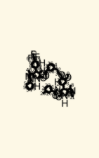 COc1cc(C2c3c(C)nn(C)c3NC(=O)C2NC(=O)c2cccc(C)c2)ccc1OCCc1cccc(C(=O)NC2C(=O)Nc3c(c(C)nn3-c3ccccc3)C2c2ccc(C(F)(F)F)cc2)c1